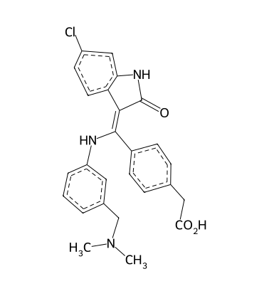 CN(C)Cc1cccc(NC(=C2C(=O)Nc3cc(Cl)ccc32)c2ccc(CC(=O)O)cc2)c1